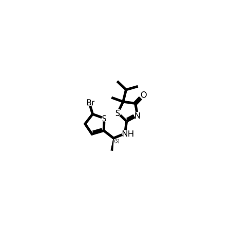 CC(C)C1(C)SC(N[C@@H](C)C2=CCC(Br)S2)=NC1=O